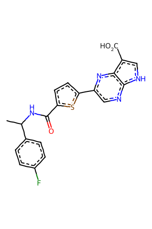 CC(NC(=O)c1ccc(-c2cnc3[nH]cc(C(=O)O)c3n2)s1)c1ccc(F)cc1